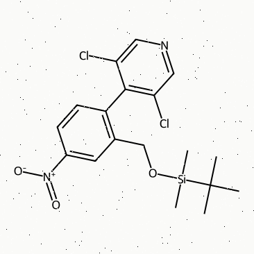 CC(C)(C)[Si](C)(C)OCc1cc([N+](=O)[O-])ccc1-c1c(Cl)cncc1Cl